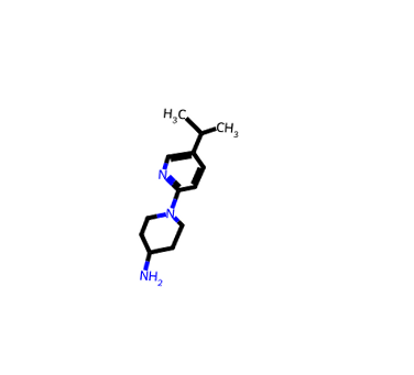 CC(C)c1ccc(N2CCC(N)CC2)nc1